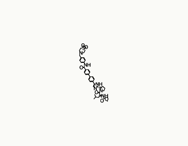 COC(=O)N[C@@H](CC(C)C)C(=O)N1CCC[C@H]1c1ncc(-c2ccc(-c3ccc(C(=O)Nc4ccc(CN5CCS(=O)(=O)CC5)cc4)cc3)cc2)[nH]1